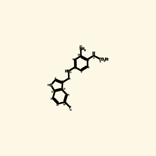 CCOC(=O)Nc1ccc(NCc2coc3ccc(F)cc23)cc1N